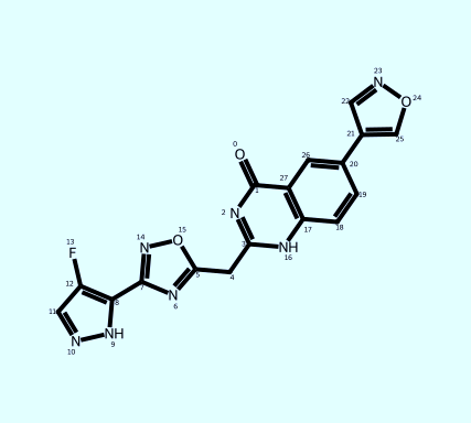 O=c1nc(Cc2nc(-c3[nH]ncc3F)no2)[nH]c2ccc(-c3cnoc3)cc12